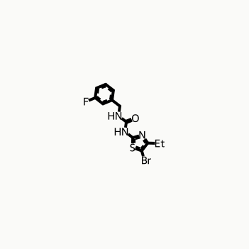 [CH2]Cc1nc(NC(=O)NCc2cccc(F)c2)sc1Br